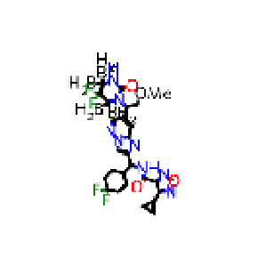 BC1(B)NC(=O)N(C(COC)c2cnn3cc(C(NC(=O)c4nonc4C4CC4)C4CCC(F)(F)CC4)nc3c2)C(B)(B)C1(F)F